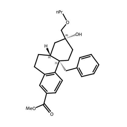 CCCOC[C@@]1(O)CC[C@@]2(Cc3ccccc3)c3ccc(C(=O)OC)cc3CC[C@@H]2C1